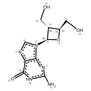 Nc1nc2c(ncn2[C@@H]2O[C@H](CO)[C@H]2CO)c(=O)[nH]1